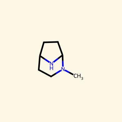 CN1CCC2CCC1N2